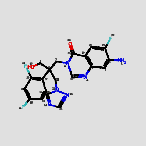 Nc1cc2ncn(CC(CO)(Cn3cncn3)c3ccc(F)cc3F)c(=O)c2cc1F